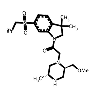 COC[C@H]1CN[C@H](C)CN1CC(=O)N1CC(C)(C)c2ccc(S(=O)(=O)CC(C)C)cc21